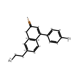 CCc1ccc(C2=CC(=S)Cc3cc(CCC(C)=O)ccc32)cc1